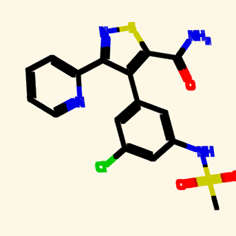 CS(=O)(=O)Nc1cc(Cl)cc(-c2c(-c3ccccn3)nsc2C(N)=O)c1